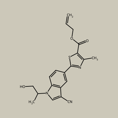 C=CCOC(=O)c1sc(-c2ccc3c(c2)c(C#N)cn3C(C)CO)nc1C